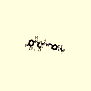 Fc1ccc(Nc2cc(Cl)nc(N/N=C/c3cccc(OC(F)(F)C(F)F)c3)n2)cc1C(F)(F)F